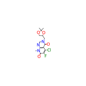 Cn1c(=O)c(F)c(Cl)c2c(=O)n(CC3COC(C)(C)O3)cnc21